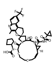 Cc1nc2ccc(C(F)(F)F)cc2c2c1O[C@]1(CC2)C[C@H]2C(=O)N[C@]3(C(=O)NS(=O)(=O)C4(C)CC4)C[C@H]3/C=C\CCCCC[C@H](N(C(=O)O)C3CCCC3)C(=O)N2C1